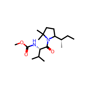 CC[C@H](C)C1CCC(C)(C)N1C(=O)[C@@H](NC(=O)OC)C(C)C